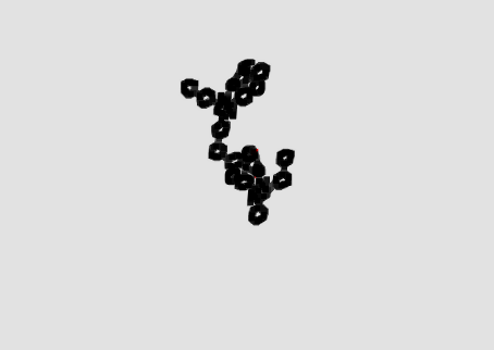 c1ccc(-c2ccc(-c3cc(-c4ccc(-c5cccc(-c6ccc7c(c6)Oc6ccc(-c8nc(-c9ccccc9)cc(-c9cccc(-c%10ccccc%10)c9)n8)cc6C76c7ccccc7-c7ccccc76)c5)cc4)nc(-c4ccc5c(c4)C4(c6ccccc6O5)c5ccccc5-c5ccccc54)n3)cc2)cc1